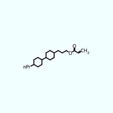 C=CC(=O)OCCCC1CCC(C2CCC(CCC)CC2)CC1